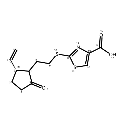 C=C[C@H]1CCC(=O)C1CCSc1nc(C(=O)O)cs1